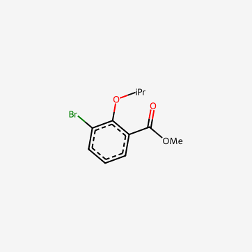 COC(=O)c1cccc(Br)c1OC(C)C